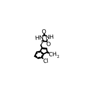 C=C1C=C(C[C@H]2NC(=O)NC2=O)c2cccc(Cl)c21